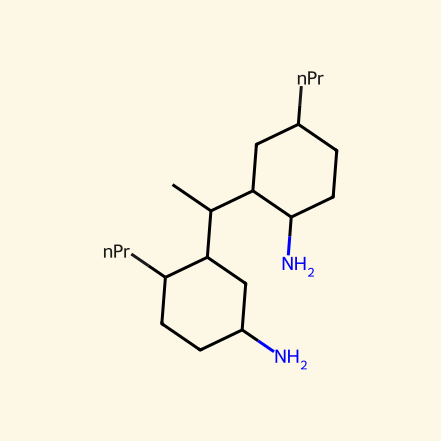 CCCC1CCC(N)C(C(C)C2CC(N)CCC2CCC)C1